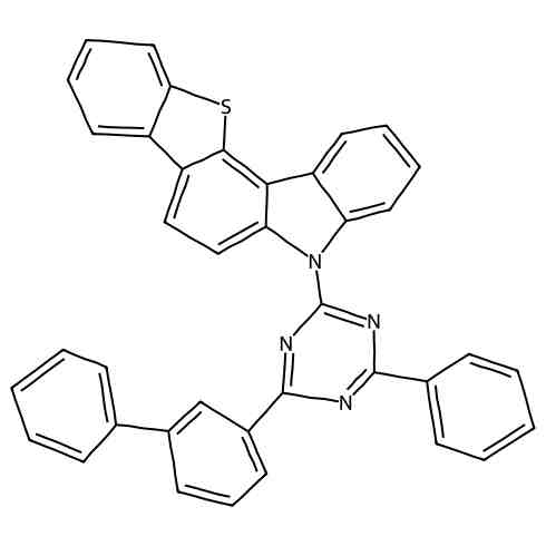 c1ccc(-c2cccc(-c3nc(-c4ccccc4)nc(-n4c5ccccc5c5c6sc7ccccc7c6ccc54)n3)c2)cc1